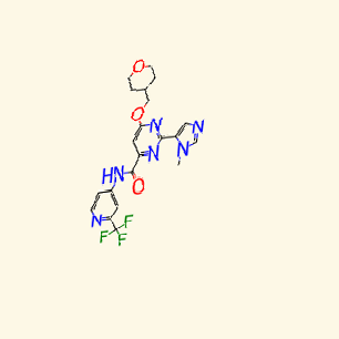 Cn1cncc1-c1nc(OCC2CCOCC2)cc(C(=O)Nc2ccnc(C(F)(F)F)c2)n1